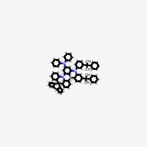 CC(C)(c1ccccc1)c1cccc(N2c3cc(C(C)(C)c4ccccc4)ccc3B3c4cccc5c4N(c4ccccc4C54c5ccccc5-c5ccccc54)c4cc(N(c5ccccc5)c5ccccc5)cc2c43)c1